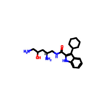 NCC(O)C[C@H](N)CNC(=O)c1[nH]c2ccccc2c1C1CCCCC1